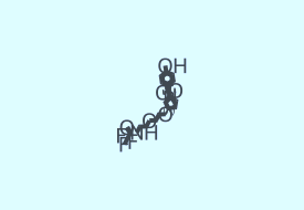 O=C(NCCOCCO[C@@H]1CCN(S(=O)(=O)c2ccc(O)cc2)C1)C(F)(F)F